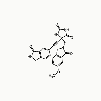 COc1ccc2c(c1)C(=O)N(C[C@@]1(C#Cc3ccc4c(c3)C(=O)NC4)NC(=O)NC1=O)C2